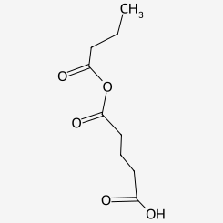 CCCC(=O)OC(=O)CCCC(=O)O